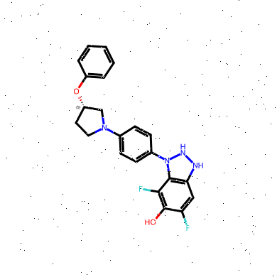 Oc1c(F)cc2c(c1F)N(c1ccc(N3CC[C@H](Oc4ccccc4)C3)cc1)NN2